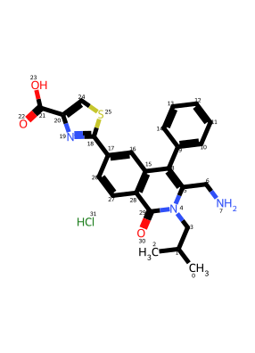 CC(C)Cn1c(CN)c(-c2ccccc2)c2cc(-c3nc(C(=O)O)cs3)ccc2c1=O.Cl